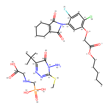 CCCCCOC(=O)COc1cc(N2C(=O)C3=C(CCCC3)C2=O)c(F)cc1Cl.CSc1nnc(C(C)(C)C)c(=O)n1N.O=C(O)CNCP(=O)(O)O